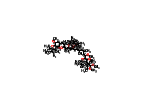 C=CCC(C)(CC(OC)C(O[Si](C)(C)C(C)(C)C)C(CC(C)C/C(C)=C/CC(CC(O[Si](C(C)C)(C(C)C)C(C)C)C(C)C(O)C(C)=CC1CCC(O[Si](C(C)C)(C(C)C)C(C)C)C(OC)C1)O[Si](C)(C)C(C)(C)C)OC)C(OC)OC